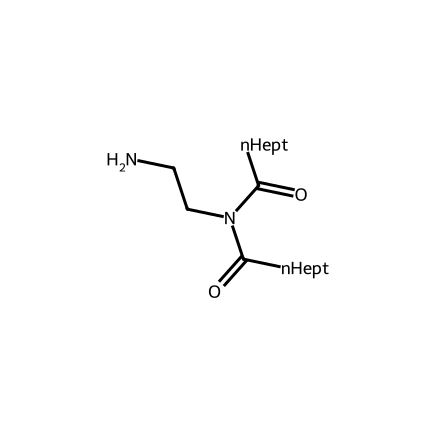 CCCCCCCC(=O)N(CCN)C(=O)CCCCCCC